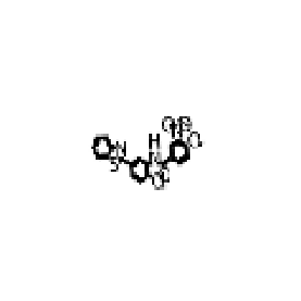 COc1ccc(C(=O)Nc2cc(-c3nc4ccccc4s3)ccc2Cl)cc1[N+](=O)[O-]